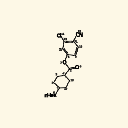 CCCCCCC1CCC(C(=O)Oc2ccc(C#N)c(Cl)c2)CC1